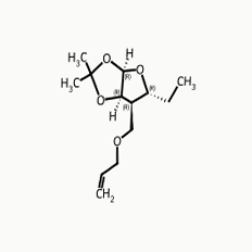 C=CCOC[C@H]1[C@H]2OC(C)(C)O[C@H]2O[C@@H]1CC